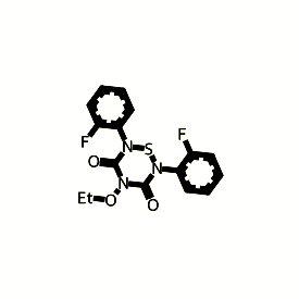 CCON1C(=O)N(c2ccccc2F)SN(c2ccccc2F)C1=O